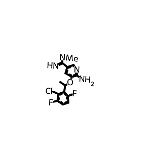 CNC(=N)c1cnc(N)c(OC(C)c2c(F)ccc(F)c2Cl)c1